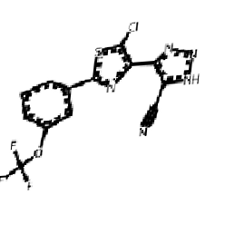 N#Cc1[nH]nnc1-c1nc(-c2cccc(OC(F)(F)F)c2)sc1Cl